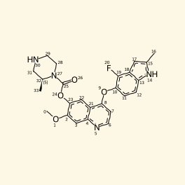 COc1cc2nccc(Oc3ccc4[nH]c(C)cc4c3F)c2cc1OC(=O)N1CCNC[C@@H]1C